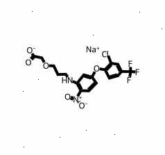 O=C([O-])COCCCNc1cc(Oc2ccc(C(F)(F)F)cc2Cl)ccc1[N+](=O)[O-].[Na+]